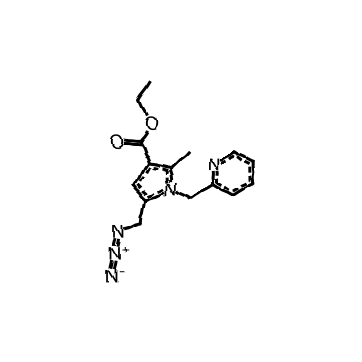 CCOC(=O)c1cc(CN=[N+]=[N-])n(Cc2ccccn2)c1C